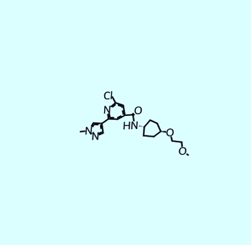 COCCO[C@H]1CC[C@H](NC(=O)c2cc(Cl)nc(-c3cnn(C)c3)c2)CC1